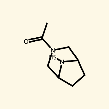 CC(=O)N1CC2CCC(C1)N2S